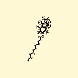 CCCCCCCCCCCCSc1c(F)c(F)c(C(=O)N2C(=O)CSC2=S)c(F)c1F